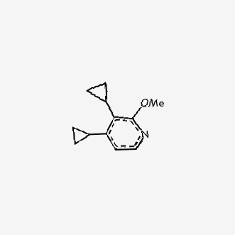 COc1nccc(C2CC2)c1C1CC1